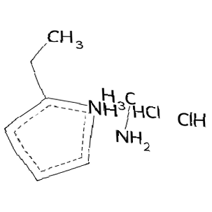 CCc1ccc[nH]1.CN.Cl.Cl